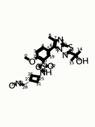 COc1ccc(-c2c(C)nc3sc(C(C)(C)O)nn23)cc1S(=O)(=O)N[C@H]1C[C@@H](CN=O)C1